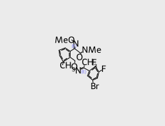 CNC(=O)/C(=N/OC)c1cccc(C)c1CO/N=C(\C)c1cc(Br)cc(F)c1F